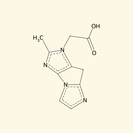 Cc1nc2c(n1CC(=O)O)Cc1nccn1-2